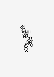 Cc1cc2c(n1CCN(C=O)c1nccc(-c3cc(Nc4ccn5ccnc5n4)c(=O)n(C)c3)c1CO)CC(C)(C)C2